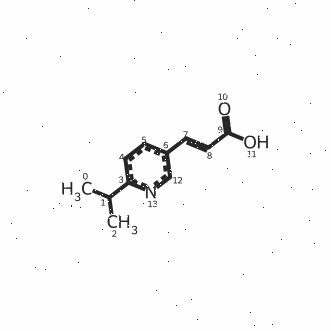 CC(C)c1ccc(/C=C/C(=O)O)cn1